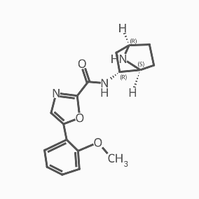 COc1ccccc1-c1cnc(C(=O)N[C@@H]2C[C@H]3CC[C@@H]2N3)o1